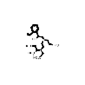 C=Cc1ccccc1C(O)CN(CCC(=O)O)CCN(CC(=O)O)C(CC(=O)O)C(=O)O